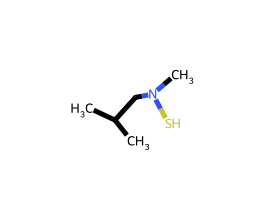 CC(C)CN(C)S